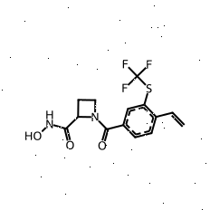 C=Cc1ccc(C(=O)N2CCC2C(=O)NO)cc1SC(F)(F)F